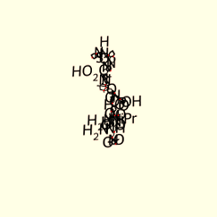 Cc1c(-c2ccc(N3CCc4cccc(C(=O)Nc5nc6ccccc6s5)c4C3)nc2C(=O)O)cnn1CC12CC3(C)CC(C)(C1)CC(OCCN(CCCP(=O)(O)O)C(=O)OCc1ccc(N(C(=O)[C@@H](NC(=O)CCCCCN4C(=O)C=CC4=O)C(C)C)[C@@H](CCCNC(N)=O)C(N)=O)cc1)(C3)C2